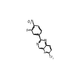 O=[N+]([O-])c1ccc(-c2ncc3nc(C(F)(F)F)ccc3n2)cc1F